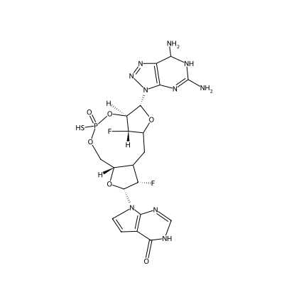 NC1=Nc2c(nnn2[C@@H]2OC3CC4[C@@H](COP(=O)(S)O[C@@H]2[C@H]3F)O[C@@H](n2ccc3c(=O)[nH]cnc32)[C@H]4F)C(N)N1